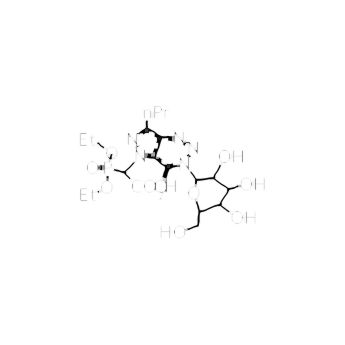 CCCc1nn(C(C(=O)O)P(=O)(OCC)OCC)c2c(=O)n(C3OC(CO)C(O)C(O)C3O)nnc12